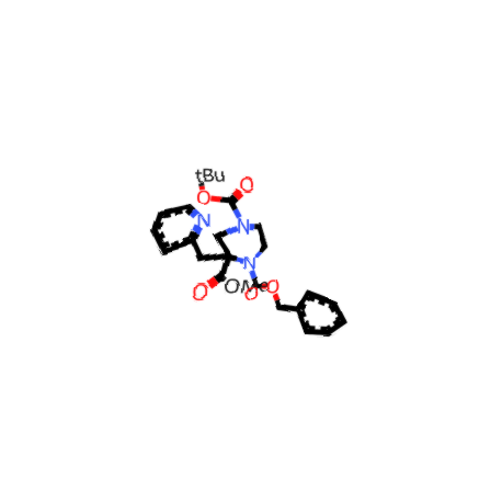 COC(=O)C1(Cc2ccccn2)CN(C(=O)OC(C)(C)C)CCN1C(=O)OCc1ccccc1